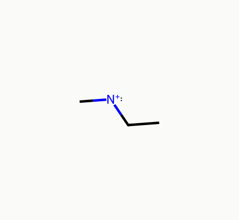 CC[N+]C